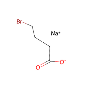 O=C([O-])CCCBr.[Na+]